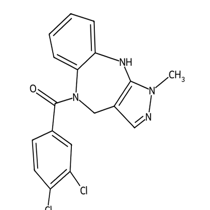 Cn1ncc2c1Nc1ccccc1N(C(=O)c1ccc(Cl)c(Cl)c1)C2